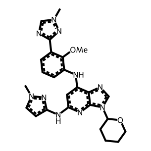 COc1c(Nc2cc(Nc3ccn(C)n3)nc3c2ncn3C2CCCCO2)cccc1-c1ncn(C)n1